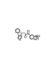 O=C(CC1c2ccccc2-c2cncn21)Nc1ccc2cn[nH]c2c1